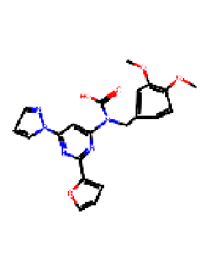 COc1ccc(CN(C(=O)O)c2cc(-n3cccn3)nc(-c3ccco3)n2)cc1OC